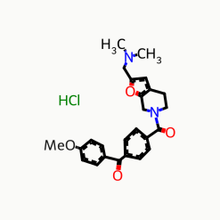 COc1ccc(C(=O)c2ccc(C(=O)N3CCc4cc(CN(C)C)oc4C3)cc2)cc1.Cl